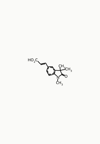 CN1C(=O)C(C)(C)c2cc(/C=C/C(=O)O)ccc21